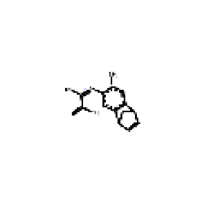 C=C(S)/C(S)=N\c1cc2c(cc1N)C1C=CC2C1